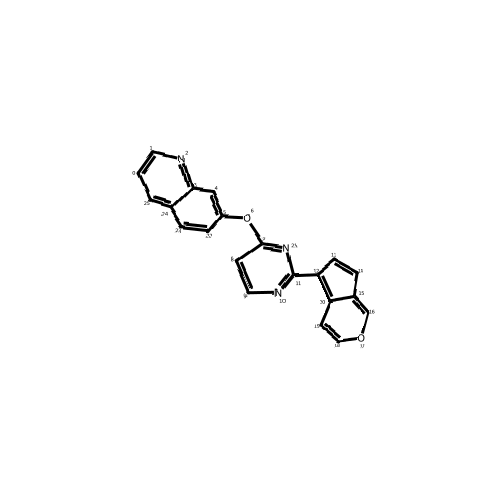 c1cnc2cc(Oc3ccnc(-c4ccc5coccc4-5)n3)ccc2c1